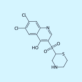 O=S(=O)(c1cnc2cc(Cl)c(Cl)cc2c1O)C1CNCCS1